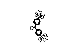 CO[Si](OC)(OC)c1ccc(C(=O)c2ccc([Si](OC)(OC)OC)cc2)cc1